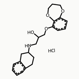 Cl.OC(CNC1CCc2ccccc2C1)COc1cccc2c1OCCCO2